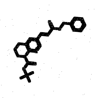 CC(C)(C)OC(=O)N1CCCc2cc(/C=C/C(=O)OCc3ccccc3)cnc21